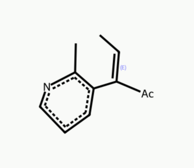 C/C=C(/C(C)=O)c1cccnc1C